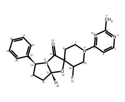 Cc1nccc(N2CCC3(O[C@@H]4CC[C@@H](c5ccccc5)N4C3=O)C(F)C2)n1